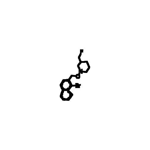 FCC1CCCN(OCc2ccc3ccccc3c2Br)C1